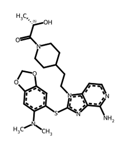 C[C@H](O)C(=O)N1CCC(CCn2c(Sc3cc4c(cc3N(C)C)OCO4)nc3c(N)nccc32)CC1